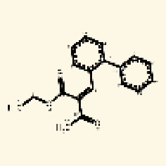 CCOC(=O)C(=Cc1ccccc1-c1ccccc1)C(C)=O